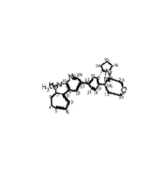 COC1=CCC=CC=C1c1cc(-c2ccc(C3CCOCC3)c([C@@H]3CCCN3)c2)cnc1N